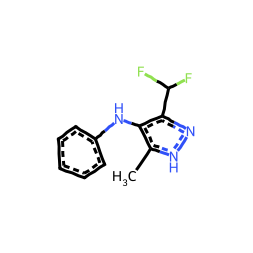 Cc1[nH]nc(C(F)F)c1Nc1ccccc1